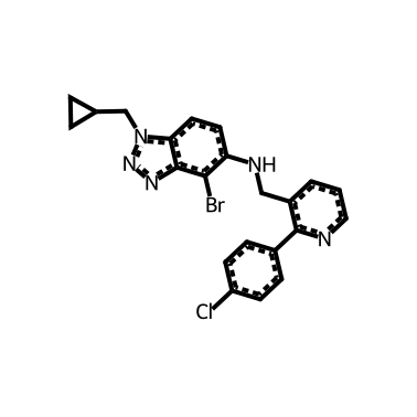 Clc1ccc(-c2ncccc2CNc2ccc3c(nnn3CC3CC3)c2Br)cc1